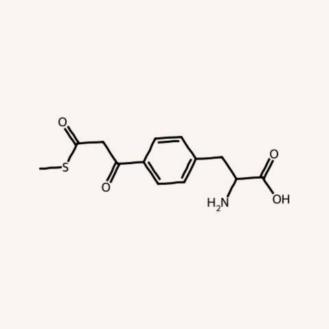 CSC(=O)CC(=O)c1ccc(CC(N)C(=O)O)cc1